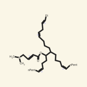 CC/C=C/C/C=C\CCCC(CCC/C=C\CCCCC)C(CC/C=C\CCCCC)OC(=O)/C=C/CN(C)C